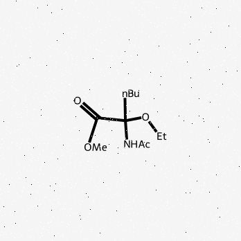 CCCCC(NC(C)=O)(OCC)C(=O)OC